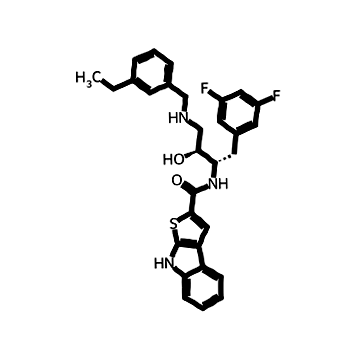 CCc1cccc(CNC[C@H](O)[C@H](Cc2cc(F)cc(F)c2)NC(=O)c2cc3c([nH]c4ccccc43)s2)c1